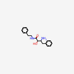 NC(Cc1ccccc1)C(O)C(=O)NCCc1ccccc1